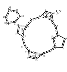 C1=Cc2cc3ccc(cc4nc(cc5ccc(cc1n2)[nH]5)C=C4)[nH]3.[Co].c1ncncn1